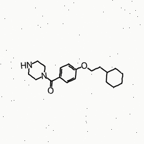 O=C(c1ccc(OCCC2CCCCC2)cc1)N1CCNCC1